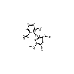 COc1ccc(C=O)cc1F.O=Cc1cccc(Br)c1O